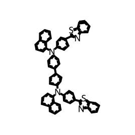 c1ccc2nc(-c3ccc(N(c4ccc(-c5ccc(N(c6ccc(-c7nc8ccccc8s7)cc6)c6cccc7ccccc67)cc5)cc4)c4cccc5ccccc45)cc3)sc2c#1